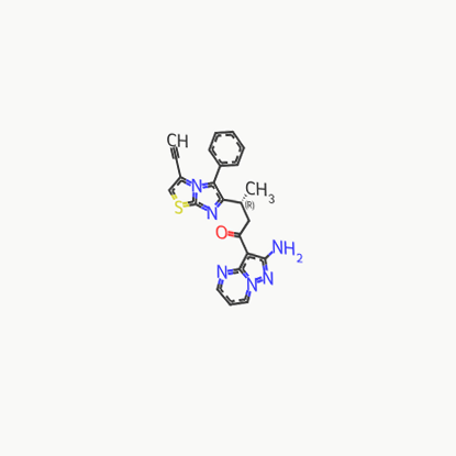 C#Cc1csc2nc([C@H](C)CC(=O)c3c(N)nn4cccnc34)c(-c3ccccc3)n12